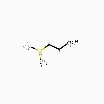 C[SH](C)CCC(=O)O